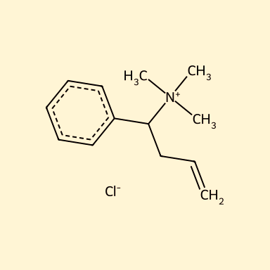 C=CCC(c1ccccc1)[N+](C)(C)C.[Cl-]